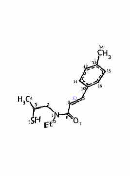 CCN(CC(C)S)C(=O)/C=C/c1ccc(C)cc1